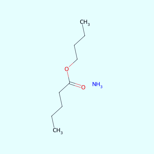 CCCCOC(=O)CCCC.N